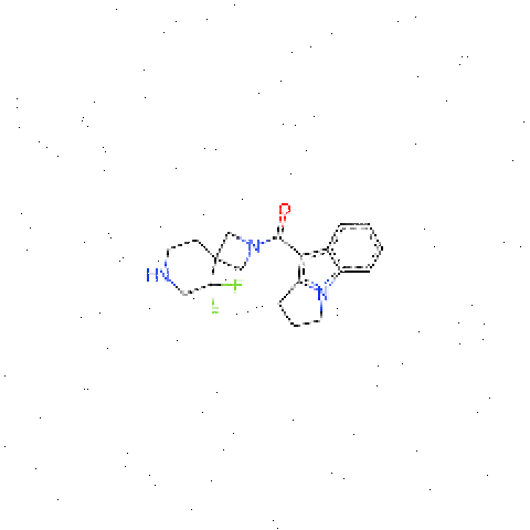 O=C(c1c2n(c3ccccc13)CCC2)N1CC2(CCNCC2(F)F)C1